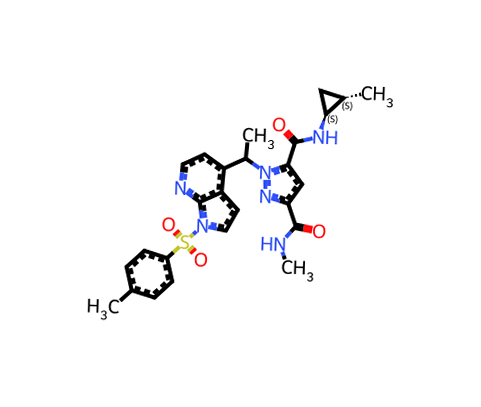 CNC(=O)c1cc(C(=O)N[C@H]2C[C@@H]2C)n(C(C)c2ccnc3c2ccn3S(=O)(=O)c2ccc(C)cc2)n1